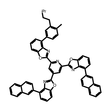 Cc1ccc(-c2cccc3oc(-c4cc(-c5nc6c(-c7ccc8ccccc8c7)cccc6o5)cc(-c5nc6c(-c7ccc8ccccc8c7)cccc6o5)n4)nc23)cc1CCC(C)C